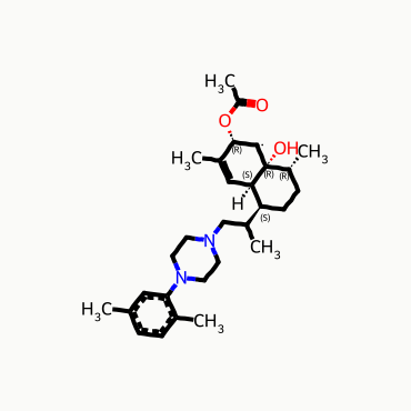 CC(=O)O[C@@H]1[CH][C@@]2(O)[C@H](C)CC[C@@H](C(C)CN3CCN(c4cc(C)ccc4C)CC3)[C@H]2C=C1C